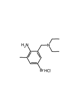 CCN(CC)Cc1cc(Br)cc(C)c1N.Cl